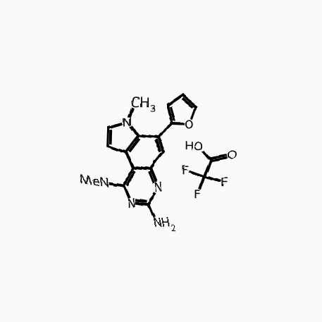 CNc1nc(N)nc2cc(-c3ccco3)c3c(ccn3C)c12.O=C(O)C(F)(F)F